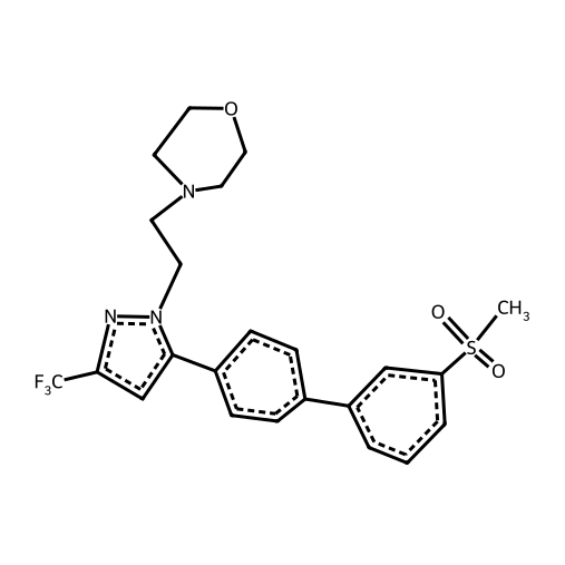 CS(=O)(=O)c1cccc(-c2ccc(-c3cc(C(F)(F)F)nn3CCN3CCOCC3)cc2)c1